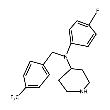 Fc1ccc(N(Cc2ccc(C(F)(F)F)cc2)C2CCNCC2)cc1